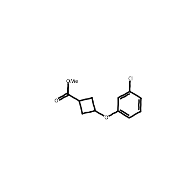 COC(=O)C1CC(Oc2cccc(Cl)c2)C1